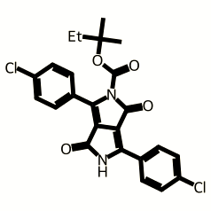 CCC(C)(C)OC(=O)N1C(=O)C2=C(c3ccc(Cl)cc3)NC(=O)C2=C1c1ccc(Cl)cc1